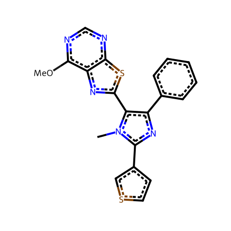 COc1ncnc2sc(-c3c(-c4ccccc4)nc(-c4ccsc4)n3C)nc12